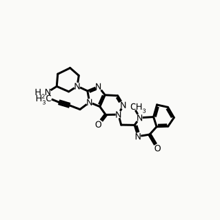 CC#CCn1c(N2CCCC(N)C2)nc2cnn(Cc3nc(=O)c4ccccc4n3C)c(=O)c21